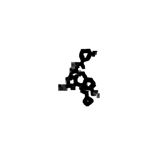 CC(Nc1nc2nc(C#N)nc(NCCC3CCC3)c2n1Cc1ccc(C(F)(F)F)cc1)c1cccc(F)c1